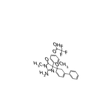 COC1(C2(c3ccccc3)N=C(N)N(C)C2=O)C=CC=C(c2ccccc2)C1.O=C(O)C(F)(F)F